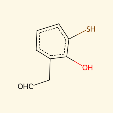 O=CCc1cccc(S)c1O